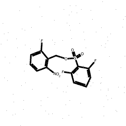 O=[N+]([O-])c1cccc(F)c1COS(=O)(=O)c1c(F)cccc1F